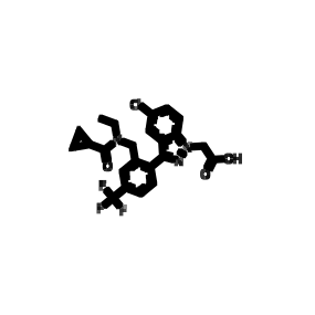 CCN(Cc1cc(C(F)(F)F)ccc1-c1nn(CC(=O)O)c2ccc(Cl)cc12)C(=O)C1CC1